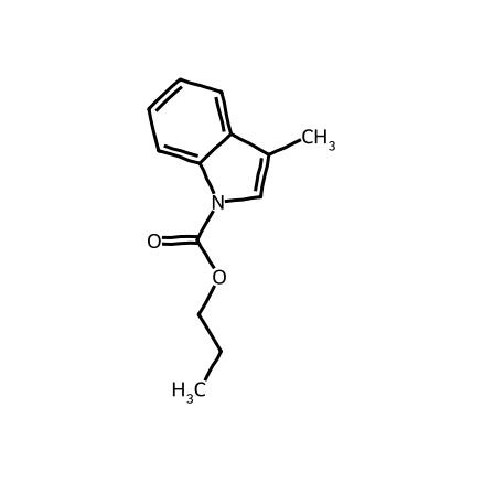 CCCOC(=O)n1cc(C)c2ccccc21